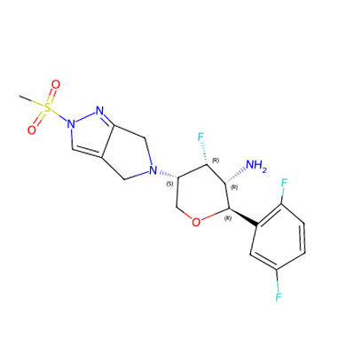 CS(=O)(=O)n1cc2c(n1)CN([C@H]1CO[C@H](c3cc(F)ccc3F)[C@@H](N)[C@H]1F)C2